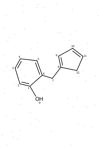 Oc1ccccc1CC1=CC=CC1